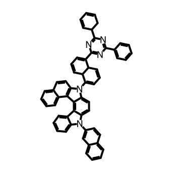 C1=CCC(c2nc(C3=CC=CC4C(n5c6ccc7ccccc7c6c6c7c8ccccc8n(-c8ccc9ccccc9c8)c7ccc65)=CC=CC34)nc(-c3ccccc3)n2)C=C1